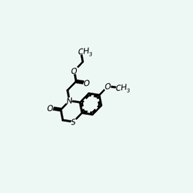 CCOC(=O)CN1C(=O)CSc2ccc(OC)cc21